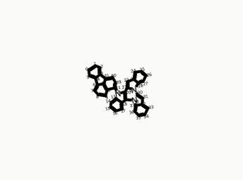 c1ccc2c(c1)-c1cccc3c(-n4c5ccccc5c5c4c4cc6ccccc6n4c4cc6ccccc6n54)ccc-2c13